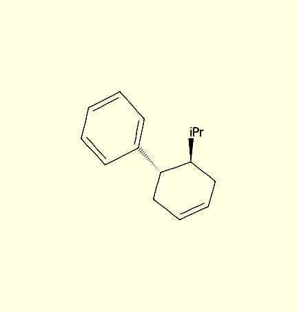 CC(C)[C@H]1CC=CC[C@@H]1c1ccccc1